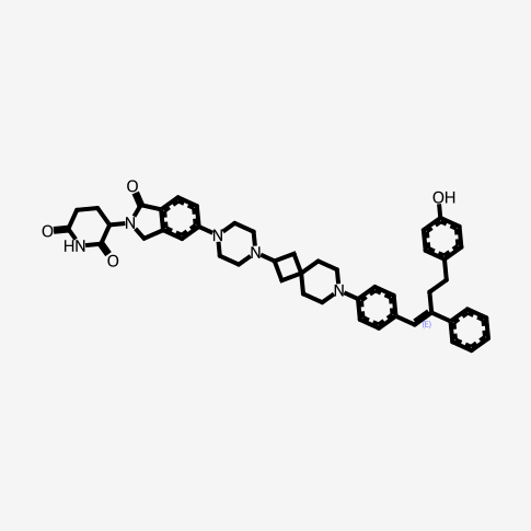 O=C1CCC(N2Cc3cc(N4CCN(C5CC6(CCN(c7ccc(/C=C(\CCc8ccc(O)cc8)c8ccccc8)cc7)CC6)C5)CC4)ccc3C2=O)C(=O)N1